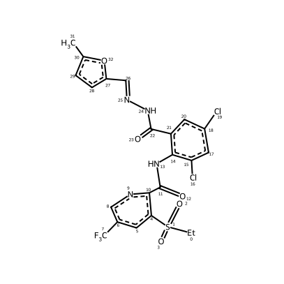 CCS(=O)(=O)c1cc(C(F)(F)F)cnc1C(=O)Nc1c(Cl)cc(Cl)cc1C(=O)NN=Cc1ccc(C)o1